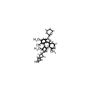 Cc1cc2c(cnn2C2CCCCO2)c(-c2c(-c3cccnc3C)nn(C3CC4(CNC4)C3)c2C)c1Cl